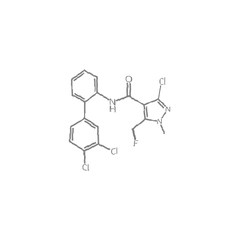 Cn1nc(Cl)c(C(=O)Nc2ccccc2-c2ccc(Cl)c(Cl)c2)c1CF